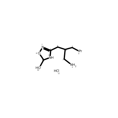 CC(C)CC(CN)CC1=NOC(O)N1.Cl